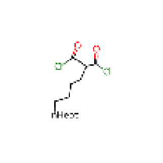 CCCCCCCCCCCC(C(=O)Cl)C(=O)Cl